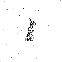 CCn1cc(C(=O)O)c(=O)c2cc(F)c(N3CCCc4cc(N5CC(C#N)OC5=O)ccc4C3)nc21